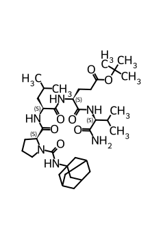 CC(C)C[C@H](NC(=O)[C@@H]1CCCN1C(=O)NC12CC3CC(CC(C3)C1)C2)C(=O)N[C@@H](CCC(=O)OC(C)(C)C)C(=O)N[C@H](C(N)=O)C(C)C